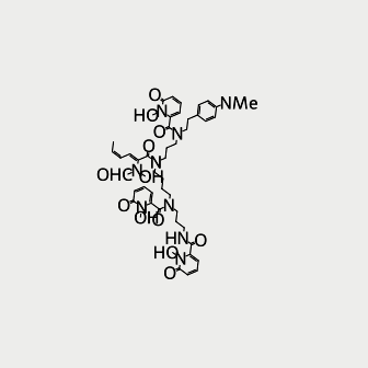 C/C=C\C=C(\C(=O)N(CCCCN(CCCNC(=O)c1cccc(=O)n1O)C(=O)c1cccc(=O)n1O)CCCN(CCc1ccc(NC)cc1)C(=O)c1cccc(=O)n1O)N(O)C=O